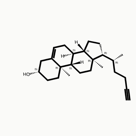 C#CCC[C@@H](C)[C@H]1CC[C@H]2[C@@H]3CC=C4C[C@@H](O)CC[C@]4(C)[C@H]3CC[C@]12C